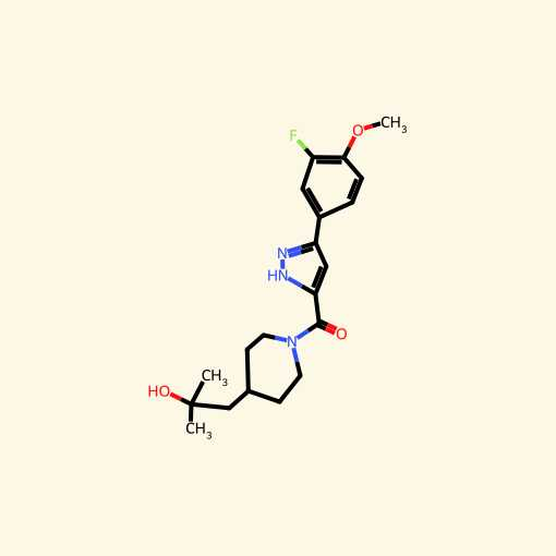 COc1ccc(-c2cc(C(=O)N3CCC(CC(C)(C)O)CC3)[nH]n2)cc1F